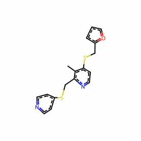 Cc1c(SCc2ccco2)ccnc1CSc1ccncc1